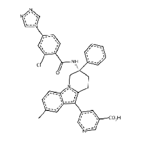 Cc1ccc2c(c1)c(-c1cncc(C(=O)O)c1)c1n2C[C@@](NC(=O)c2ccc(-n3cnnc3)cc2Cl)(c2ccccc2)CC1